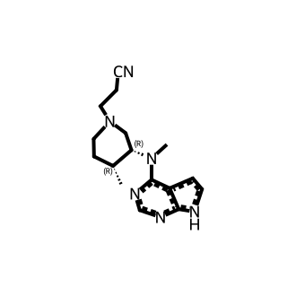 C[C@@H]1CCN(CCC#N)C[C@@H]1N(C)c1ncnc2[nH]ccc12